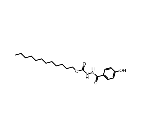 CCCCCCCCCCCCOC(=O)NNC(=O)c1ccc(O)cc1